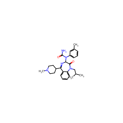 Cc1cccc(N(C(N)=O)C2N=C(C3CCN(C)CC3)c3ccccc3N(CC(C)C)C2=O)c1